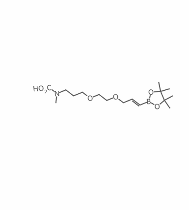 CN(CCCOCCOCC=CB1OC(C)(C)C(C)(C)O1)C(=O)O